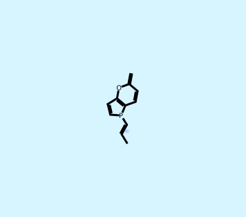 C=C1C=Cc2c(ccp2/C=C/C)O1